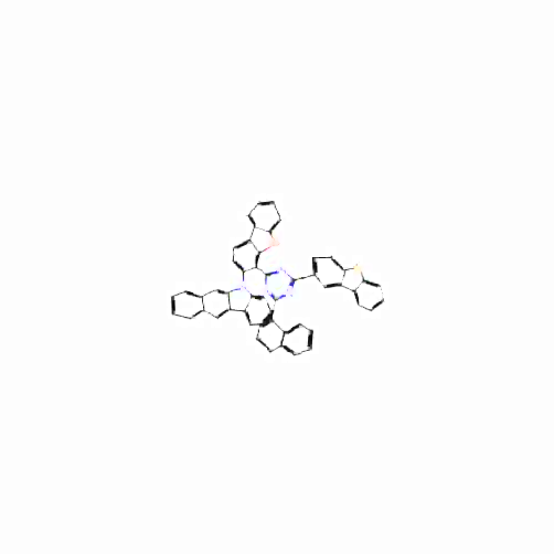 c1ccc2cc3c(cc2c1)c1ccccc1n3-c1ccc2c(oc3ccccc32)c1-c1nc(-c2ccc3sc4ccccc4c3c2)nc(-c2cccc3ccccc23)n1